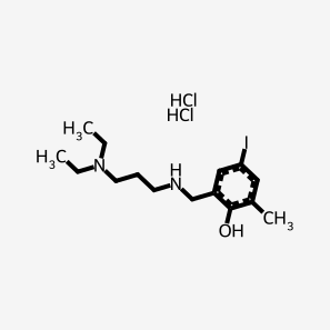 CCN(CC)CCCNCc1cc(I)cc(C)c1O.Cl.Cl